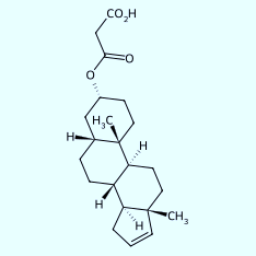 C[C@]12CC[C@@H](OC(=O)CC(=O)O)C[C@H]1CC[C@@H]1[C@@H]2CC[C@]2(C)C=CC[C@@H]12